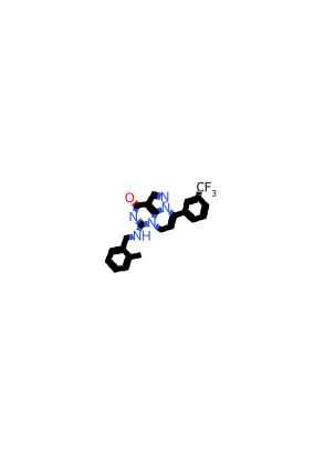 Cc1ccccc1CNc1nc(=O)c2cnn3c2n1CC=C3c1cccc(C(F)(F)F)c1